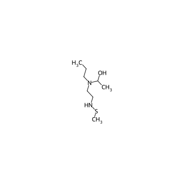 CCCN(CCNSC)C(C)O